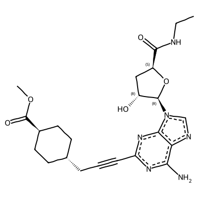 CCNC(=O)[C@@H]1C[C@@H](O)[C@H](n2cnc3c(N)nc(C#CC[C@H]4CC[C@H](C(=O)OC)CC4)nc32)O1